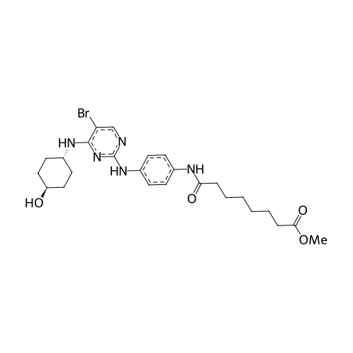 COC(=O)CCCCCCC(=O)Nc1ccc(Nc2ncc(Br)c(N[C@H]3CC[C@H](O)CC3)n2)cc1